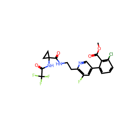 COC(=O)c1c(Cl)cccc1-c1cnc(CCNC(=O)C2(NC(=O)C(F)(F)F)CC2)c(F)c1